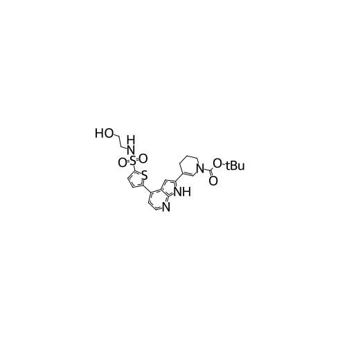 CC(C)(C)OC(=O)N1C=C(c2cc3c(-c4ccc(S(=O)(=O)NCCO)s4)ccnc3[nH]2)CCC1